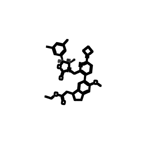 CCOC(=O)CC1CCc2cc(OC)c(-c3ccc(N4CCC4)nc3CN3C(=O)O[C@H](c4cc(C)cc(C)c4)[C@@H]3C)cc21